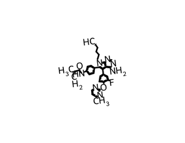 C#CCCCCn1c(-c2ccc(NC(=O)C(=C)C)cc2)c(-c2ccc(Oc3nccc(C)n3)c(F)c2)c2c(N)ncnc21